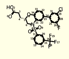 O=C(O)CC[C@H]1CN(S(=O)(=O)c2cccc(C(F)(F)F)c2)c2cc(-c3cc(F)cc(Cl)c3)ccc2O1